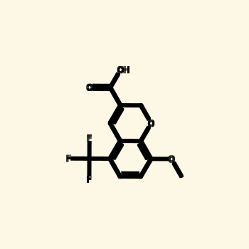 COc1ccc(C(F)(F)F)c2c1OCC(C(=O)O)=C2